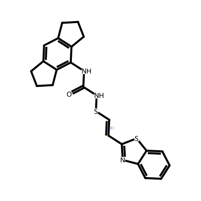 O=C(NS/C=C/c1nc2ccccc2s1)Nc1c2c(cc3c1CCC3)CCC2